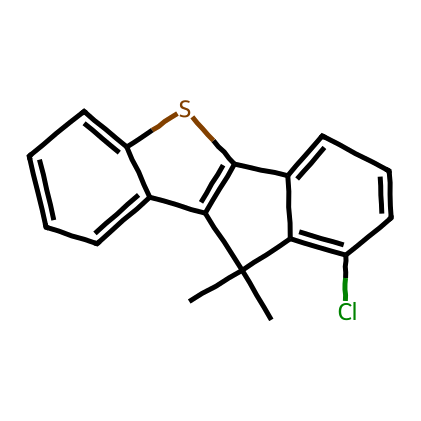 CC1(C)c2c(Cl)cccc2-c2sc3ccccc3c21